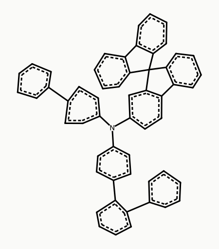 c1ccc(-c2ccc(N(c3ccc(-c4ccccc4-c4ccccc4)cc3)c3ccc4c(c3)C3(c5ccccc5-c5ccccc53)c3ccccc3-4)cc2)cc1